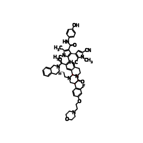 Cc1c(-c2c(C(=O)Nc3ccc(O)cc3)c(C)n(C)c2-c2cc3c(cc2C(=O)N2Cc4ccccc4C[C@H]2CCN2CCCCC2)CN(C(=O)Cc2ccc(OCCN4CCOCC4)cc2F)CC3)cc(C#N)n1C